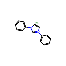 Cl.c1ccc(-n2cc[n+](-c3ccccc3)c2)cc1